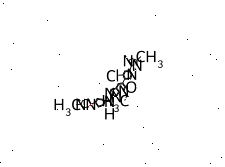 CCn1c(=O)c(-c2cnc(C3=NCC(C)=N3)cc2Cl)cc2cnc(Nc3ccc(N4CCN(C)CC4)cc3)nc21